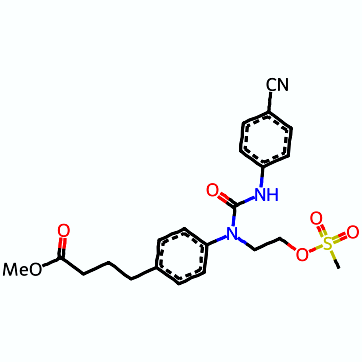 COC(=O)CCCc1ccc(N(CCOS(C)(=O)=O)C(=O)Nc2ccc(C#N)cc2)cc1